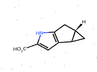 O=C(O)c1cc2c([nH]1)C[C@@H]1CC21